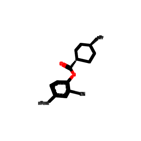 CCCCCc1ccc(OC(=O)[C@H]2CC[C@H](CCC)CC2)c(C#N)c1